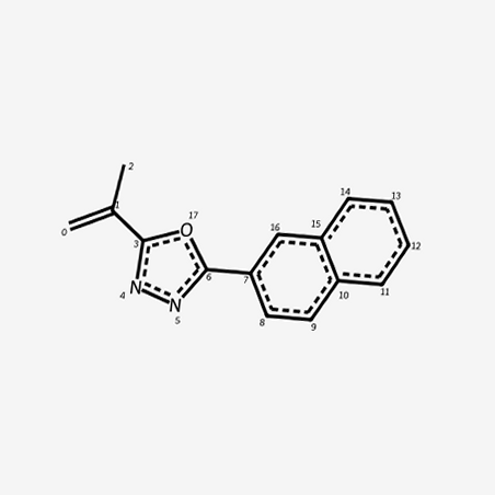 C=C(C)c1nnc(-c2ccc3ccccc3c2)o1